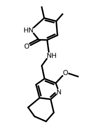 COc1nc2c(cc1CNc1cc(C)c(C)[nH]c1=O)CCCC2